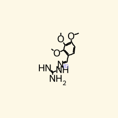 COc1ccc(/C=N/NC(=N)N)c(OC)c1OC